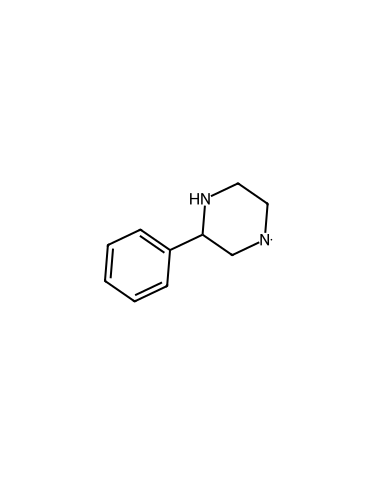 c1ccc(C2C[N]CCN2)cc1